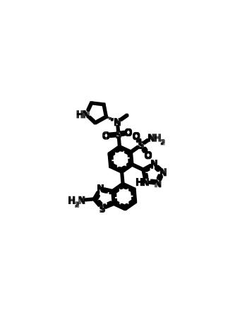 CN([C@H]1CCNC1)S(=O)(=O)c1ccc(-c2cccc3sc(N)nc23)c(-c2nnn[nH]2)c1S(N)(=O)=O